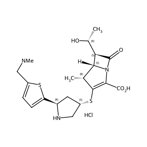 CNCc1ccc([C@H]2C[C@H](SC3=C(C(=O)O)N4C(=O)[C@H]([C@@H](C)O)[C@H]4[C@H]3C)CN2)s1.Cl